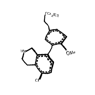 CCOC(=O)Cc1ccc(OC)c(-c2ccc(Cl)c3c2CNCC3)c1